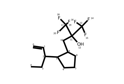 C=CC(CC)C1CCCC1CC(O)(C(F)(F)F)C(F)(F)F